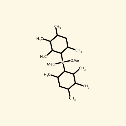 CO[Si](OC)(C1C(C)CC(C)C(C)C1C)C1C(C)CC(C)C(C)C1C